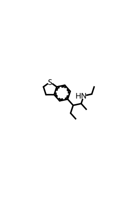 CCNC(C)C(CC)c1ccc2c(c1)CCS2